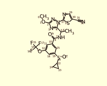 COc1nc(C(C)NC(=O)c2cc(OC(F)(F)F)cc([S+]([O-])C3CC3)c2)n(-c2ncc(C#N)s2)n1